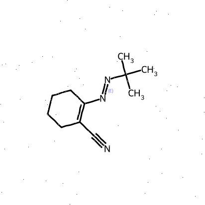 CC(C)(C)/N=N/C1=C(C#N)CCCC1